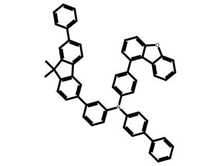 CC1(C)c2ccc(-c3cccc(N(c4ccc(-c5ccccc5)cc4)c4ccc(-c5cccc6oc7ccccc7c56)cc4)c3)cc2-c2ccc(-c3ccccc3)cc21